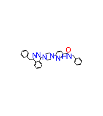 O=C(NCc1ccccc1)c1ccc(N2CCN(c3nnc(Cc4ccccc4)c4ccccc34)CC2)nc1